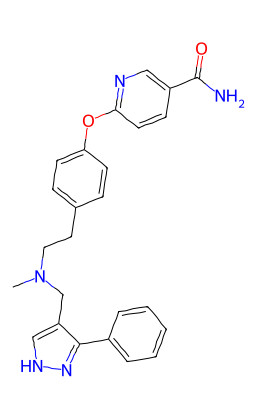 CN(CCc1ccc(Oc2ccc(C(N)=O)cn2)cc1)Cc1c[nH]nc1-c1ccccc1